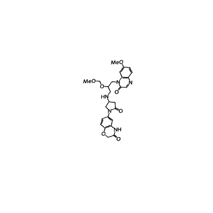 COCOC(CNC1CC(=O)N(c2ccc3c(c2)NC(=O)CO3)C1)Cn1c(=O)cnc2ccc(OC)cc21